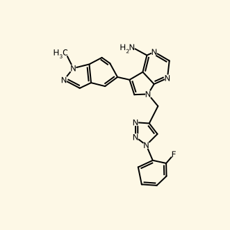 Cn1ncc2cc(-c3cn(Cc4cn(-c5ccccc5F)nn4)c4ncnc(N)c34)ccc21